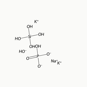 O=P([O-])([O-])O.O[Si](O)(O)O.[K+].[K+].[Na+].[OH-]